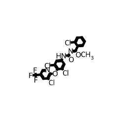 COC(=NC(=O)Nc1cc(Cl)c(Oc2ncc(C(F)(F)F)cc2Cl)c(Cl)c1)c1ccccc1Cl